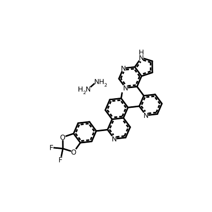 Cc1ccc2c(-c3ccc4c(c3)OC(F)(F)O4)nccc2c1-c1ncccc1-c1ncnc2[nH]ccc12.NN